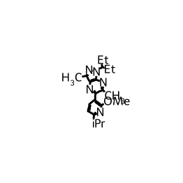 CCC(CC)n1nc(C)c2nc(-c3ccc(C(C)C)nc3OC)c(C)nc21